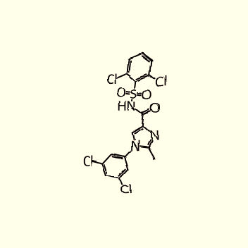 Cc1nc(C(=O)NS(=O)(=O)c2c(Cl)cccc2Cl)cn1-c1cc(Cl)cc(Cl)c1